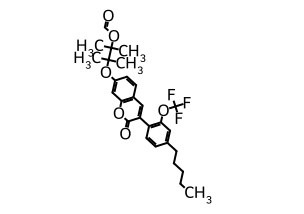 CCCCCc1ccc(-c2cc3ccc(OC(C)(C)C(C)(C)OC=O)cc3oc2=O)c(OC(F)(F)F)c1